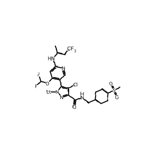 CCn1nc(C(=O)NCC2CCC(S(C)(=O)=O)CC2)c(Cl)c1-c1cnc(NC(C)CC(F)(F)F)cc1OC(F)F